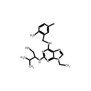 CCn1cnc2c(NCc3cc(I)ccc3N)nc(NC(CO)C(C)C)nc21